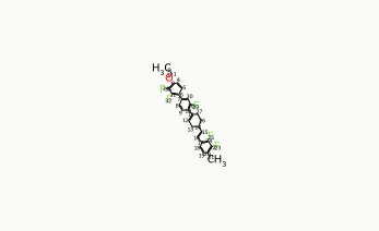 CCOc1ccc(-c2ccc(C3=CCC(/C=C/c4ccc(C)c(F)c4F)CC3)c(F)c2)c(F)c1F